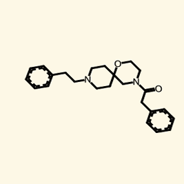 O=C(Cc1ccccc1)N1CCOC2(CCN(CCc3ccccc3)CC2)C1